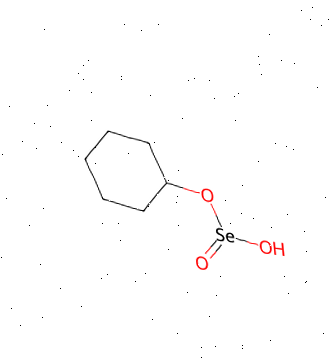 O=[Se](O)OC1CCCCC1